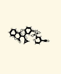 N#Cc1ccnc(S(=O)(=O)Nc2cccc(C(c3c(O)c4ccccc4oc3=O)C3CC3)c2)c1